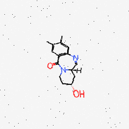 Cc1cc2c(cc1C)C(=O)N1CC[C@@H](O)C[C@H]1C=N2